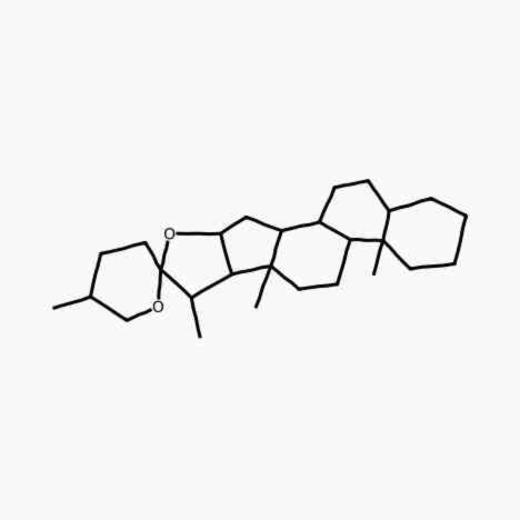 CC1CCC2(OC1)OC1CC3C4CCC5CCCCC5(C)C4CCC3(C)C1C2C